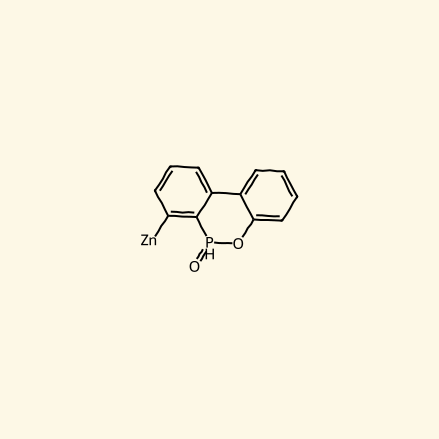 O=[PH]1Oc2ccccc2-c2ccc[c]([Zn])c21